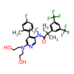 Cc1cc(F)ccc1-c1cc(N(CCO)CCO)ncc1N(C)C(=O)C(C)(C)c1cc(C(F)(F)F)cc(C(F)(F)F)c1